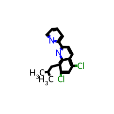 CC(C)Cc1c(Cl)cc(Cl)c2ccc(-c3ccccn3)nc12